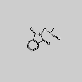 CC(C=O)ON1C(=O)c2ccccc2C1=O